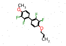 C=CCOc1ccc(-c2ccc(OC)c(F)c2F)c(F)c1F